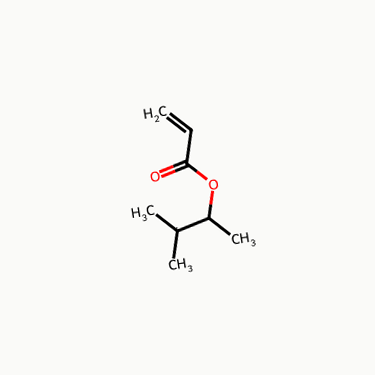 C=CC(=O)OC(C)[C](C)C